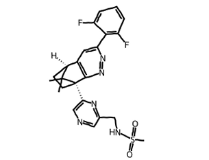 CC1(C)[C@H]2CC[C@]1(c1cncc(CNS(C)(=O)=O)n1)c1nnc(-c3c(F)cccc3F)cc12